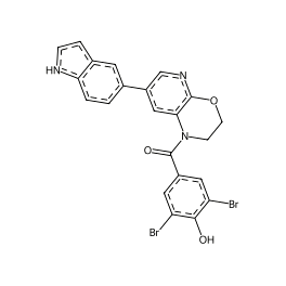 O=C(c1cc(Br)c(O)c(Br)c1)N1CCOc2ncc(-c3ccc4[nH]ccc4c3)cc21